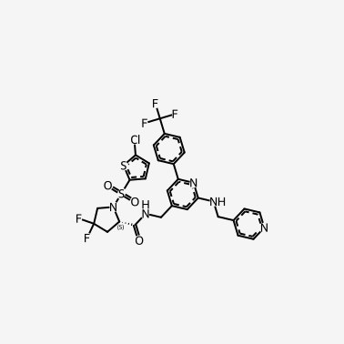 O=C(NCc1cc(NCc2ccncc2)nc(-c2ccc(C(F)(F)F)cc2)c1)[C@@H]1CC(F)(F)CN1S(=O)(=O)c1ccc(Cl)s1